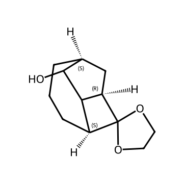 OC1C2[C@H]3C[C@@H]1CCC[C@@H]2C31OCCO1